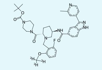 [2H]C([2H])([2H])Oc1cccc(F)c1CN1C[C@H](NC(=O)c2ccc3[nH]nc(-c4ccnc(C)c4)c3c2)CC[C@H]1C(=O)N1CCN(C(=O)OC(C)(C)C)CC1